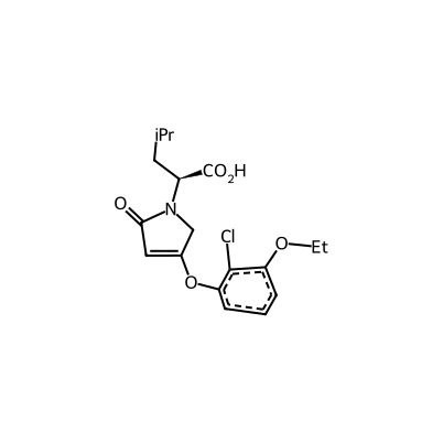 CCOc1cccc(OC2=CC(=O)N([C@@H](CC(C)C)C(=O)O)C2)c1Cl